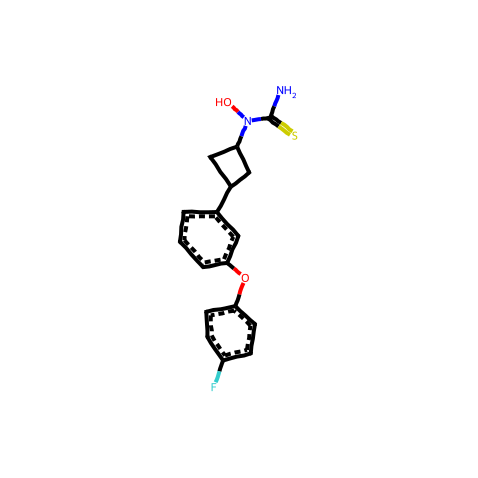 NC(=S)N(O)C1CC(c2cccc(Oc3ccc(F)cc3)c2)C1